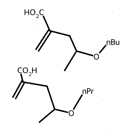 C=C(CC(C)OCCC)C(=O)O.C=C(CC(C)OCCCC)C(=O)O